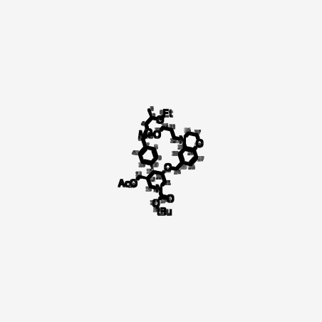 CCO[C@H](C)COCc1ccc([C@H]2[C@H](COC(C)=O)CN(C(=O)OC(C)(C)C)C[C@@H]2OCc2ccc3c(c2)N(CCCOC)CCO3)cc1